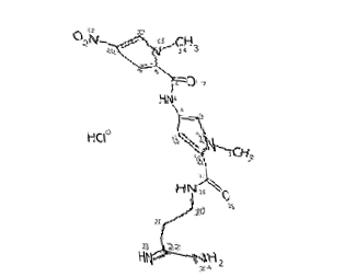 Cl.Cn1cc(NC(=O)c2cc([N+](=O)[O-])cn2C)cc1C(=O)NCCC(=N)N